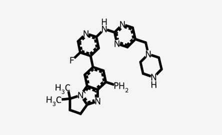 CC1(C)CCc2nc3c(P)cc(-c4cc(Nc5ncc(CN6CCNCC6)cn5)ncc4F)cc3n21